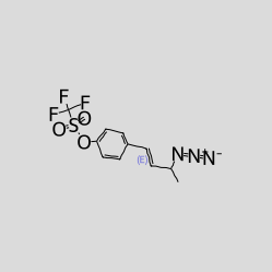 CC(/C=C/c1ccc(OS(=O)(=O)C(F)(F)F)cc1)N=[N+]=[N-]